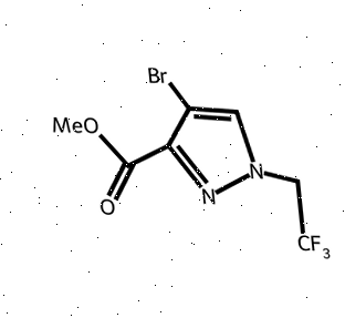 COC(=O)c1nn(CC(F)(F)F)cc1Br